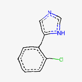 Clc1ccccc1-c1cnc[nH]1